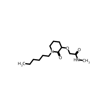 CCCCCCN1CCCC(OCC(=O)NC)C1=O